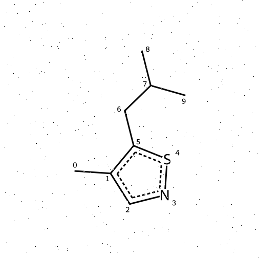 Cc1cnsc1CC(C)C